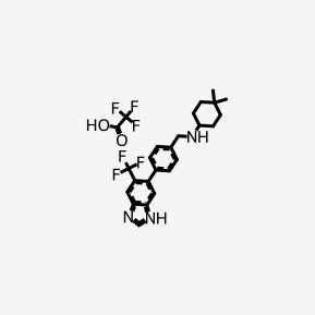 CC1(C)CCC(NCc2ccc(-c3cc4[nH]cnc4cc3C(F)(F)F)cc2)CC1.O=C(O)C(F)(F)F